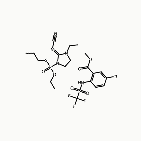 CCCSP(=O)(OCC)N1CCN(CC)/C1=N\C#N.COC(=O)c1cc(Cl)ccc1NS(=O)(=O)C(F)(F)F